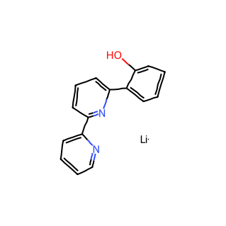 Oc1ccccc1-c1cccc(-c2ccccn2)n1.[Li]